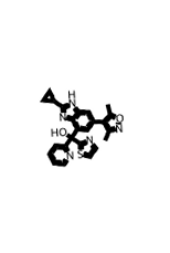 Cc1noc(C)c1-c1cc(C(O)(c2ccccn2)c2nccs2)c2nc(C3CC3)[nH]c2c1